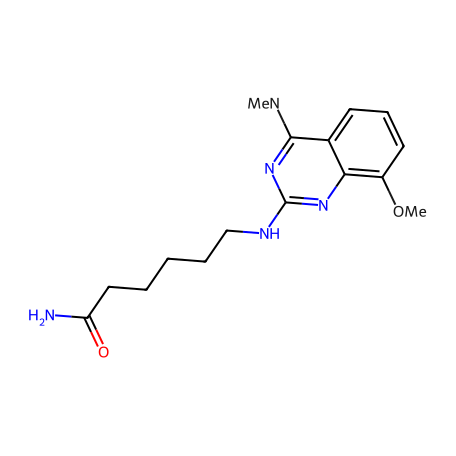 CNc1nc(NCCCCCC(N)=O)nc2c(OC)cccc12